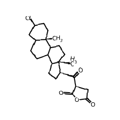 C[C@]12CCC(Cl)CC1CCC1C2CC[C@@]2(C)C1CC[C@@H]2C(=O)C1CC(=O)OC1=O